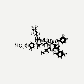 CC(C)(C)[C@H](c1cc(-c2cc(F)ccc2F)cn1Cc1ccccc1)N(CC[C@H](NC(=O)OCC[Si](C)(C)C)C(=O)N[C@H]1CC[C@@H](C(=O)O)C1)C(=O)CO